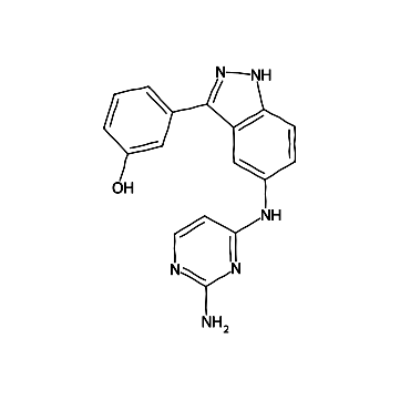 Nc1nccc(Nc2ccc3[nH]nc(-c4cccc(O)c4)c3c2)n1